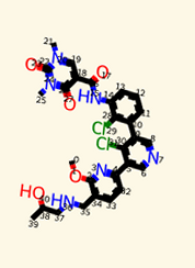 COc1nc(-c2cncc(-c3cccc(NC(=O)c4cn(C)c(=O)n(C)c4=O)c3Cl)c2Cl)ccc1CNCC(C)O